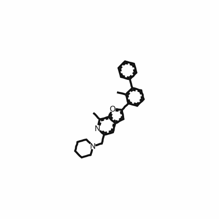 Cc1c(-c2ccccc2)cccc1-c1cc2cc(CN3CCCCC3)nc(C)c2o1